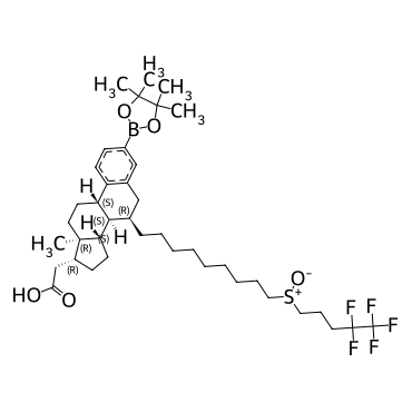 CC1(C)OB(c2ccc3c(c2)C[C@@H](CCCCCCCCC[S+]([O-])CCCC(F)(F)C(F)(F)F)[C@@H]2[C@@H]3CC[C@]3(C)[C@@H](CC(=O)O)CC[C@@H]23)OC1(C)C